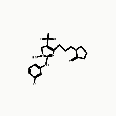 NN1CC(C(F)(F)F)=C(CCCN2CCCC2=O)N=C1Nc1cccc(Br)c1